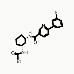 CCC(=O)N[C@@H]1CCC[C@H](NC(=O)c2ccc(-c3cccc(F)c3)nc2)C1